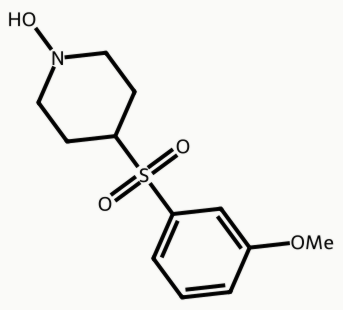 COc1cccc(S(=O)(=O)C2CCN(O)CC2)c1